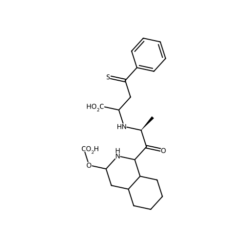 C[C@H](NC(CC(=S)c1ccccc1)C(=O)O)C(=O)C1NC(OC(=O)O)CC2CCCCC21